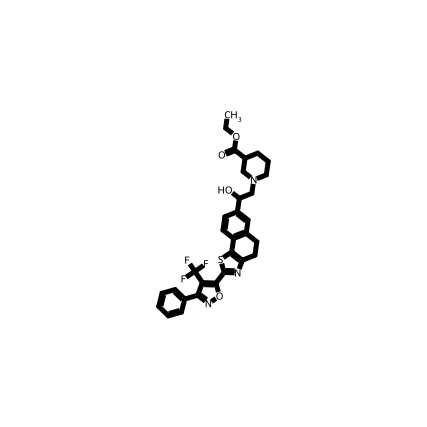 CCOC(=O)C1CCCN(CC(O)c2ccc3c(c2)CCc2nc(-c4onc(-c5ccccc5)c4C(F)(F)F)sc2-3)C1